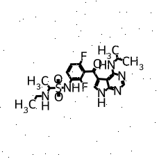 CCNC(C)S(=O)(=O)Nc1ccc(F)c(C(=O)c2c[nH]c3ncnc(NC(C)C)c23)c1F